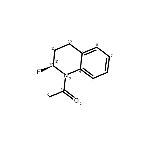 CC(=O)N1c2ccccc2CC[C@@H]1F